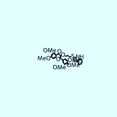 COc1cc(OC)c2c(=O)c(OCCCSc3nc4ccccc4[nH]3)c(-c3cc(OC)c(OC)c(OC)c3)oc2c1